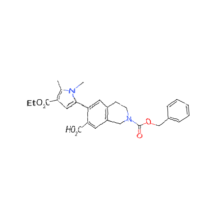 CCOC(=O)c1cc(-c2cc3c(cc2C(=O)O)CN(C(=O)OCc2ccccc2)CC3)n(C)c1C